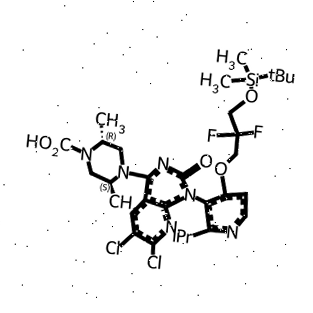 CC(C)c1nccc(OCC(F)(F)CO[Si](C)(C)C(C)(C)C)c1-n1c(=O)nc(N2C[C@@H](C)N(C(=O)O)C[C@@H]2C)c2cc(Cl)c(Cl)nc21